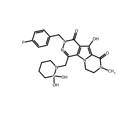 CN1CCn2c(c(O)c3c(=O)n(Cc4ccc(F)cc4)nc(CN4CCCCS4(O)O)c32)C1=O